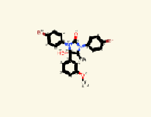 CCCC1N(c2ccc(Br)cc2)C(=O)N(c2ccc(Br)cc2)[C@@]1(O)c1cccc(OC(F)(F)F)c1